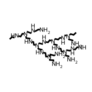 CCCNCCN(CCNCCN)CCNCCN(CCNCCN(CCN)CCN)CCNCCN(CCCNCN(CCC)CCN)CCNCCN(CCN)CCNCCNC